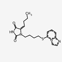 CCCC=C1C(=O)NC(=O)N1CCCCSc1cccc2nccn12